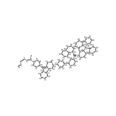 C=C/C=C\C=C(/C)c1ccc(-n2c3ccccc3c3cc(-c4ccc(-c5cccc(N(c6ccc7c(c6)C(c6ccccc6)(c6ccccc6)c6ccccc6-7)c6cccc7ccccc67)c5)cc4)ccc32)cc1